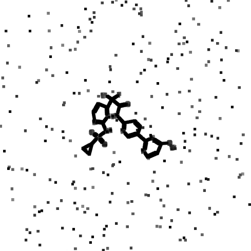 CCOc1ccnc(-c2ccc(NC(=O)C(F)(CC)c3ccnc(NS(=O)(=O)C4CC4)n3)nc2)n1